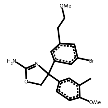 COCCc1cc(Br)cc(C2(c3ccc(OC)c(C)c3)COC(N)=N2)c1